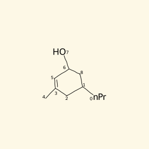 CCCC1CC(C)=CC(O)C1